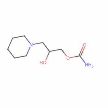 NC(=O)OCC(O)CN1CCCCC1